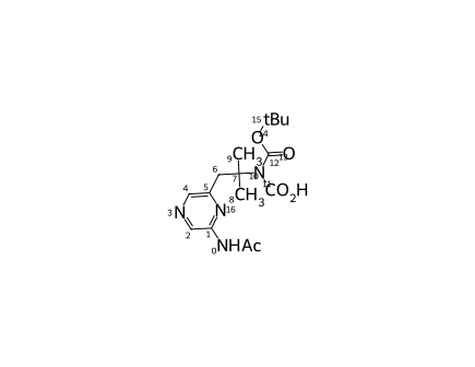 CC(=O)Nc1cncc(CC(C)(C)N(C(=O)O)C(=O)OC(C)(C)C)n1